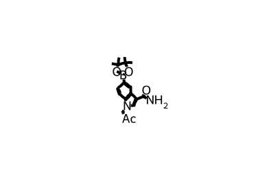 CC(=O)Cn1cc(C(N)=O)c2cc(B3OC(C)(C)C(C)(C)O3)ccc21